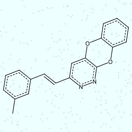 Cc1cccc(C=Cc2cc3c(nn2)Oc2ccccc2O3)c1